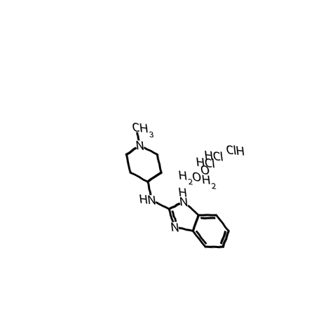 CN1CCC(Nc2nc3ccccc3[nH]2)CC1.Cl.Cl.Cl.O.O